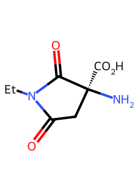 CCN1C(=O)C[C@@](N)(C(=O)O)C1=O